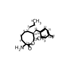 CCC[C@H]1CCCC(N)C(=O)O[C@@H](C)[C@@H]1Cc1ccc(F)cc1